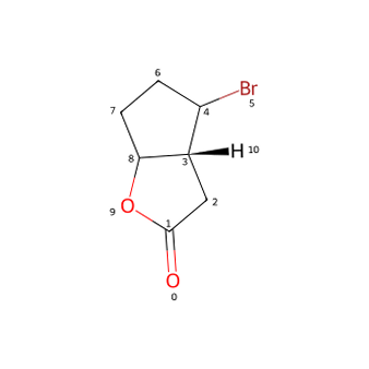 O=C1C[C@H]2C(Br)CCC2O1